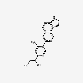 CCC(O)c1cc(C)c(-c2cc3cnc4[nH]ccc4c3cn2)cn1